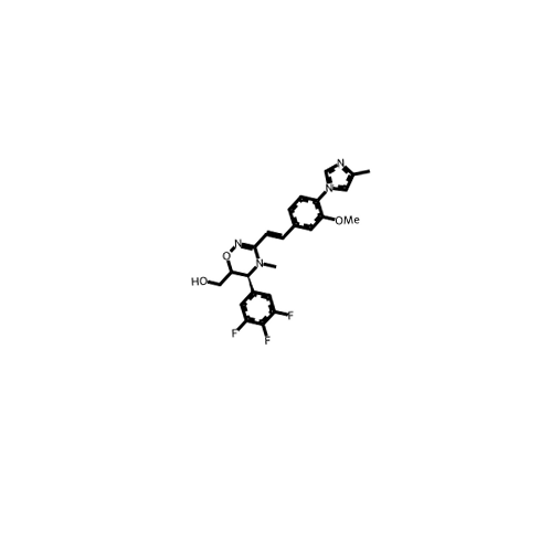 COc1cc(/C=C/C2=NOC(CO)[C@H](c3cc(F)c(F)c(F)c3)N2C)ccc1-n1cnc(C)c1